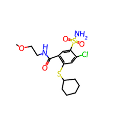 COCCNC(=O)c1cc(S(N)(=O)=O)c(Cl)cc1SC1CCCCC1